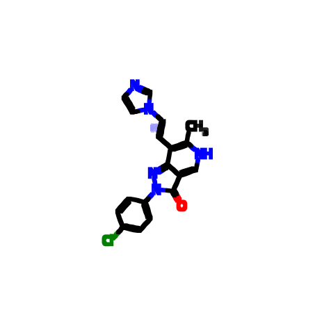 Cc1[nH]cc2c(=O)n(-c3ccc(Cl)cc3)nc-2c1/C=C/n1ccnc1